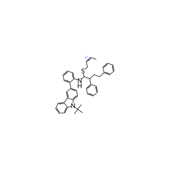 C/C=C\CSC(Nc1ccccc1-c1ccc2c(c1)c1ccccc1n2C(C)(C)C)C(CCc1ccccc1)c1ccccc1